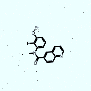 CCOc1cccc(N(C)C(=O)c2ccc3ncccc3c2)c1F